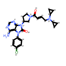 Nc1ncnc2c1n(-c1ccc(Cl)cc1)c(=O)n2C1CCN(C(=O)/C=C/CN(C2CC2)C2CC2)C1